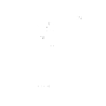 CC[C@H](C)S(=O)(=O)NCc1ccccc1.N#CCCCCCOc1ccc(CCC(=O)O)cc1